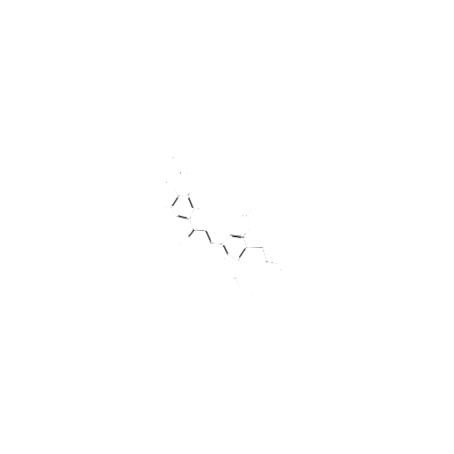 CCCc1c(OCC)cc(C=CC(=O)c2ccc(OCC)cc2)cc1OCC